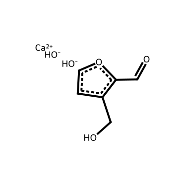 O=Cc1occc1CO.[Ca+2].[OH-].[OH-]